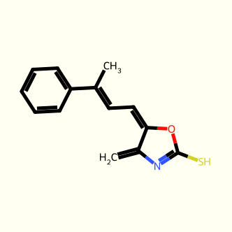 C=c1nc(S)o/c1=C/C=C(\C)c1ccccc1